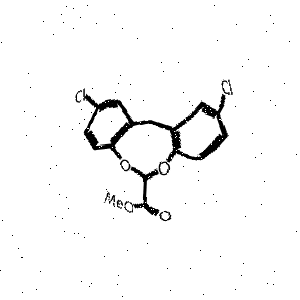 COC(=O)C1Oc2ccc(Cl)cc2Cc2cc(Cl)ccc2O1